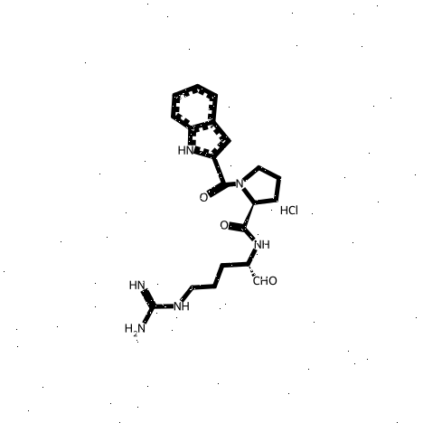 Cl.N=C(N)NCCC[C@@H](C=O)NC(=O)[C@@H]1CCCN1C(=O)c1cc2ccccc2[nH]1